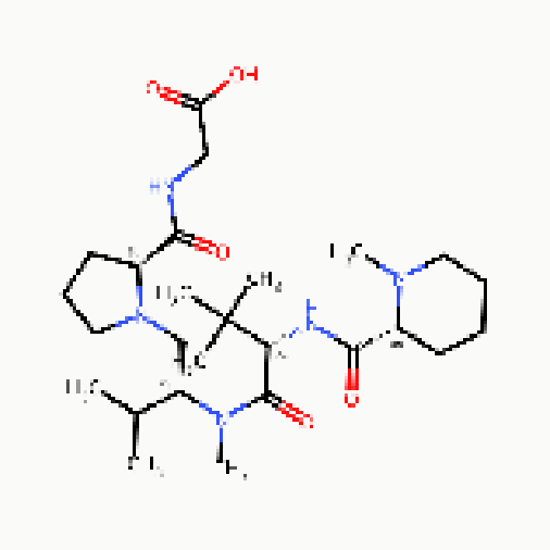 CC(C)[C@@H](CN1CCC[C@H]1C(=O)NCC(=O)O)N(C)C(=O)[C@@H](NC(=O)[C@H]1CCCCN1C)C(C)(C)C